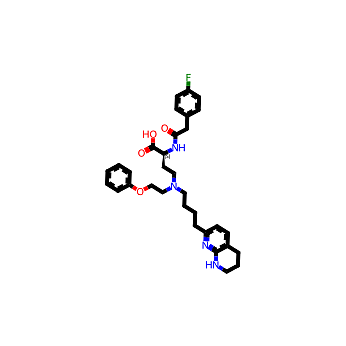 O=C(Cc1ccc(F)cc1)N[C@@H](CCN(CCCCc1ccc2c(n1)NCCC2)CCOc1ccccc1)C(=O)O